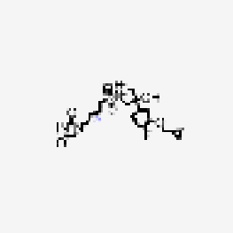 CCC(O)(CNS(=O)(=O)C/C=C/CN1CC(=O)NC1=O)c1ccc(F)c(OCC2CC2)c1